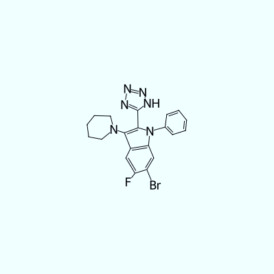 Fc1cc2c(N3CCCCC3)c(-c3nnn[nH]3)n(-c3ccccc3)c2cc1Br